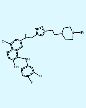 CC(C)N1CCN(CCn2cc(CNc3cc(Cl)c4ncc(C#N)c(Nc5ccc(F)c(Cl)c5)c4c3)nn2)CC1